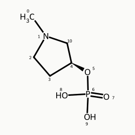 CN1CC[C@H](OP(=O)(O)O)C1